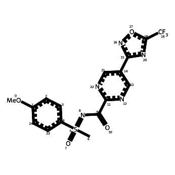 COc1ccc(S(C)(=O)=NC(=O)c2ncc(-c3noc(C(F)(F)F)n3)cn2)cc1